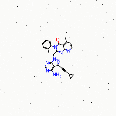 Cc1ccccc1-n1c(Cn2nc(C#CC3CC3)c3c(N)ncnc32)nc2nccc(C)c2c1=O